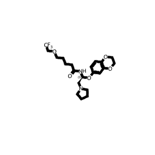 O=C(CCCCOCC(F)(F)F)N[C@H](CN1CCCC1)Oc1ccc2c(c1)OCCO2